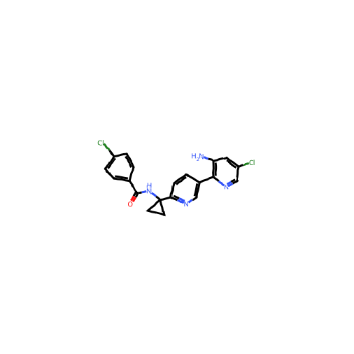 Nc1cc(Cl)cnc1-c1ccc(C2(NC(=O)c3ccc(Cl)cc3)CC2)nc1